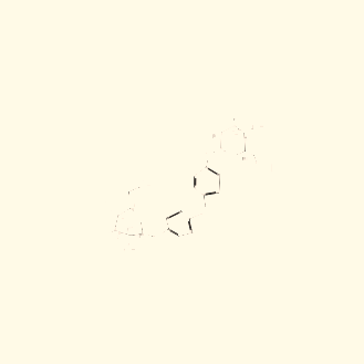 OC[C@H]1O[C@@H](Sc2ccc(Oc3ccc(S[C@@H]4O[C@H](CO)[C@@H](O)[C@H](O)[C@H]4O)cc3)cc2)[C@H](O)[C@@H](O)[C@@H]1O